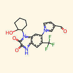 O=Cc1ccn(-c2cc3c(cc2C(F)(F)F)[nH]c(=O)c(=O)n3C2CCCCC2O)c1